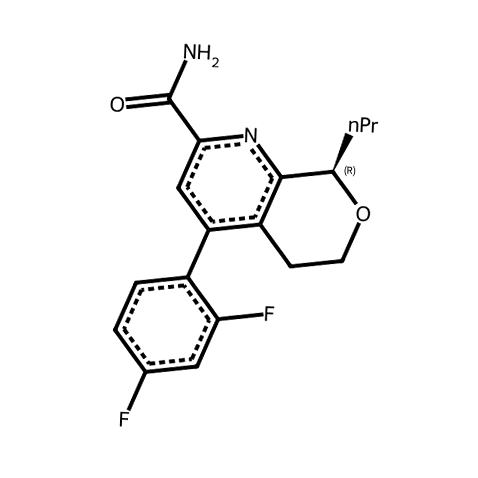 CCC[C@H]1OCCc2c(-c3ccc(F)cc3F)cc(C(N)=O)nc21